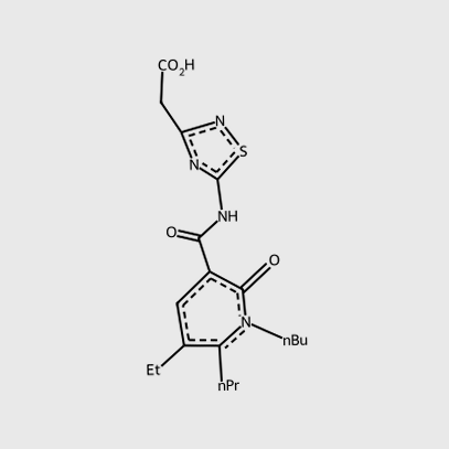 CCCCn1c(CCC)c(CC)cc(C(=O)Nc2nc(CC(=O)O)ns2)c1=O